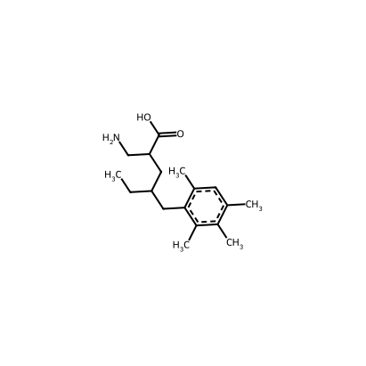 CCC(Cc1c(C)cc(C)c(C)c1C)CC(CN)C(=O)O